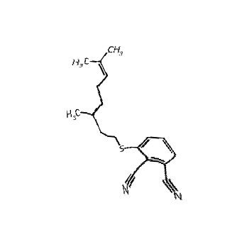 CC(C)=CCCC(C)CCSc1cccc(C#N)c1C#N